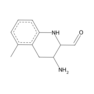 Cc1cccc2c1CC(N)C(C=O)N2